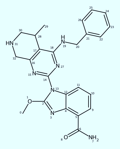 COc1nc2c(C(N)=O)cccc2n1-c1nc2c(c(NCc3ccccc3)n1)C(C)CNC2